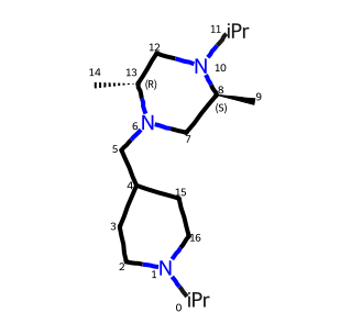 CC(C)N1CCC(CN2C[C@H](C)N(C(C)C)C[C@H]2C)CC1